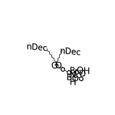 CCCCCCCCCCCCCCCCCCC(CCCCCCCCCCCCCCCC)C(=O)OCc1ccc(-c2cc(Br)c(Nc3ccc(O)c4c3C(=O)c3ccccc3C4=O)c(Br)c2)cc1